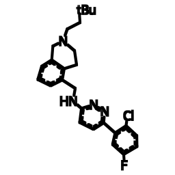 CC(C)(C)CCN1CCc2c(CNc3ccc(-c4cc(F)ccc4Cl)nn3)cccc2C1